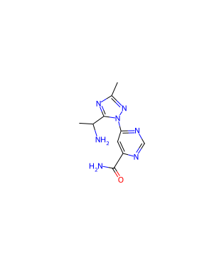 Cc1nc(C(C)N)n(-c2cc(C(N)=O)ncn2)n1